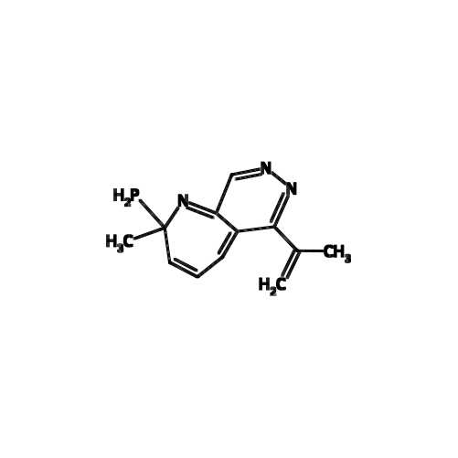 C=C(C)c1nncc2c1=CC=CC(C)(P)N=2